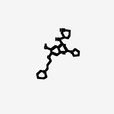 COc1cc2c(NC3CCCNC3)nc(N3CCCC3)nc2cc1OCCCN1CCCCC1